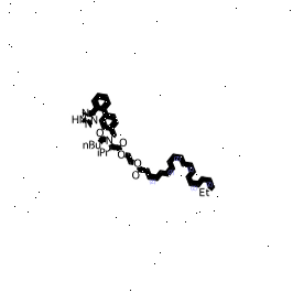 CC/C=C\C/C=C\C/C=C\C/C=C\C/C=C\C/C=C\CC(=O)OCCOC(=O)[C@H](C(C)C)N(Cc1ccc(-c2ccccc2-c2nn[nH]n2)cc1)C(=O)CCCC